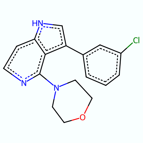 Clc1cccc(-c2c[nH]c3ccnc(N4CCOCC4)c23)c1